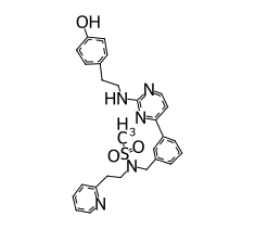 CS(=O)(=O)N(CCc1ccccn1)Cc1cccc(-c2ccnc(NCCc3ccc(O)cc3)n2)c1